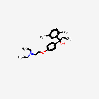 CCN(CC)CCOc1ccc(C(O)(CC)c2cc(C)ccc2C)cc1